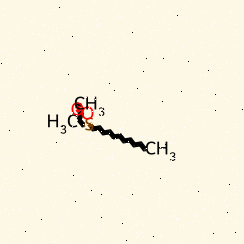 CCCCCCCCCCCCSCC(C)C(=O)OC